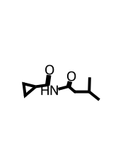 CC(C)CC(=O)NC(=O)C1CC1